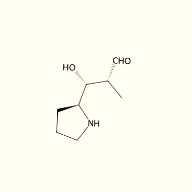 C[C@@H](C=O)[C@@H](O)[C@@H]1CCCN1